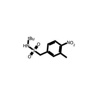 Cc1cc(CS(=O)(=O)NC(C)(C)C)ccc1[N+](=O)[O-]